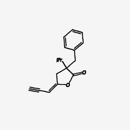 C#C/C=C1\CC(Cc2ccccc2)(C(C)C)C(=O)O1